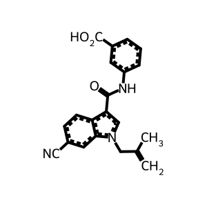 C=C(C)Cn1cc(C(=O)Nc2cccc(C(=O)O)c2)c2ccc(C#N)cc21